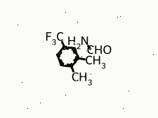 Cc1ccc(C(F)(F)F)cc1C.NC=O